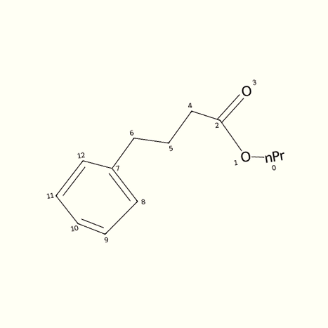 CCCOC(=O)CCCc1ccccc1